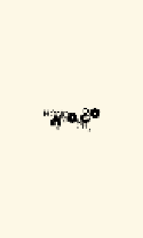 CN(c1ccc(Oc2nc(O)c3ccncc3n2)cc1)C1CCN(c2ccccc2)C(=O)C1